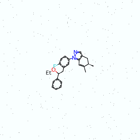 CCOC(Cc1cc(-n2ncc3c2C=C(C)[C@H](C)C3)ccc1F)c1ccccc1